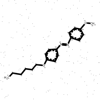 CCCCCCOc1ccc(N=Nc2ccc(OC)cc2)cc1